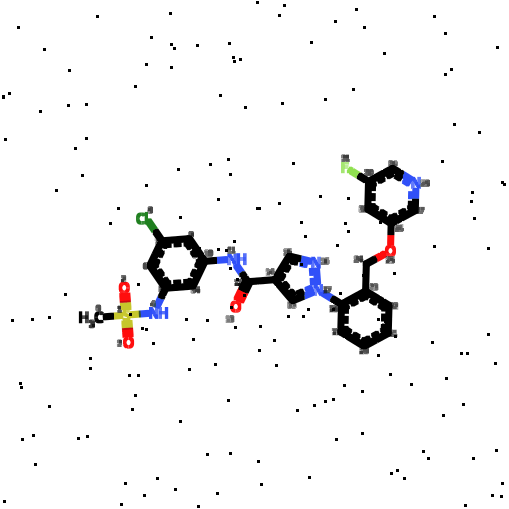 CS(=O)(=O)Nc1cc(Cl)cc(NC(=O)c2cnn(-c3ccccc3COc3cncc(F)c3)c2)c1